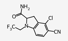 N#Cc1ccc2c(c1Cl)CC(C(N)=O)N2CC(F)(F)F